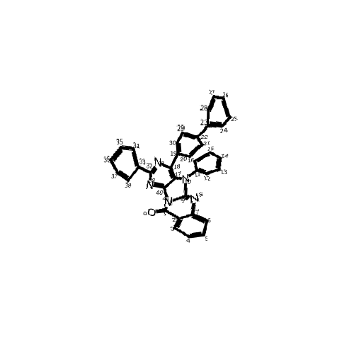 O=c1c2ccccc2nc2n(-c3ccccc3)c3c(-c4ccc(-c5ccccc5)cc4)nc(-c4ccccc4)nc3n12